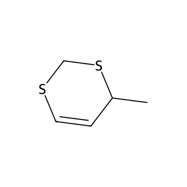 CC1C=CSCS1